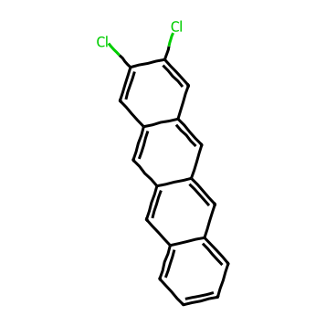 Clc1cc2cc3cc4ccccc4cc3cc2cc1Cl